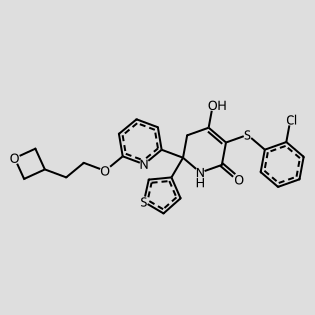 O=C1NC(c2ccsc2)(c2cccc(OCCC3COC3)n2)CC(O)=C1Sc1ccccc1Cl